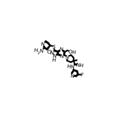 CC1(C(=N)Nc2cncc(F)c2)CCN(c2nc3[nH]nc(Sc4ccnc(N)c4Cl)c3nc2CO)CC1